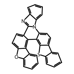 c1ccc2c(c1)nc1c3ccc4oc5ccccc5c4c3c3c4sc5ccccc5c4ccc3n21